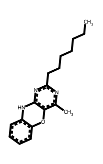 CCCCCCCc1nc(C)c2c(n1)Nc1ccccc1O2